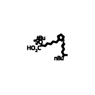 CCCCC(C)CCC=C[C@H]1CCC=C1CCCCCC(O[Si](C)(C)C(C)(C)C)C(=O)O